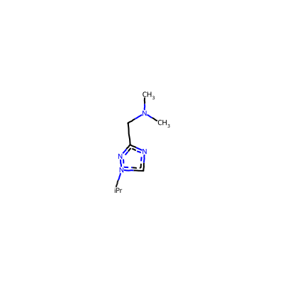 CC(C)n1cnc(CN(C)C)n1